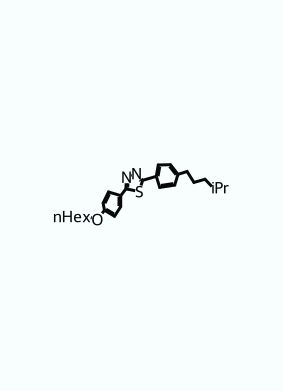 CCCCCCOc1ccc(-c2nnc(-c3ccc(CCCC(C)C)cc3)s2)cc1